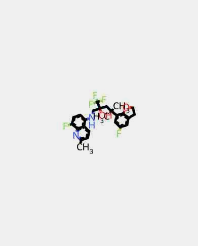 Cc1ccc2c(NCC(O)(CC(C)(C)c3cc(F)cc4c3OCC4)C(F)(F)F)ccc(F)c2n1